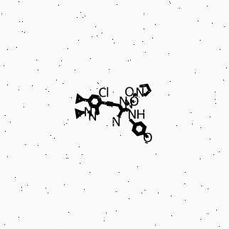 COc1ccc(CNc2c(C#N)c(C#Cc3c(Cl)cc(C4CC4)c4c3cnn4C3CC3)nn2OC(=O)N2CCCC2)cc1